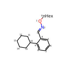 CCCCCCO/N=[C]/c1ccccc1C1CCCCC1